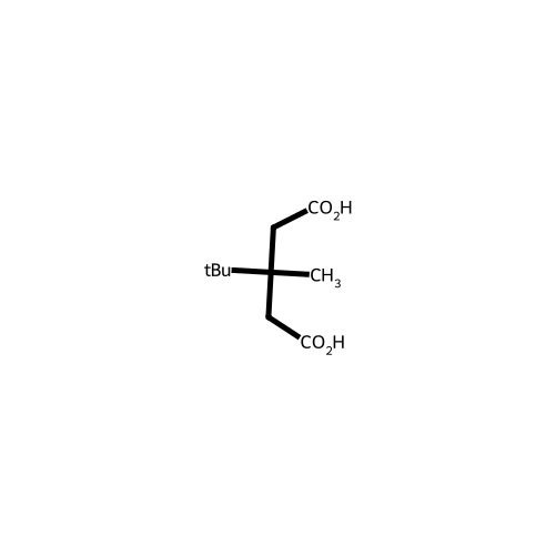 CC(C)(C)C(C)(CC(=O)O)CC(=O)O